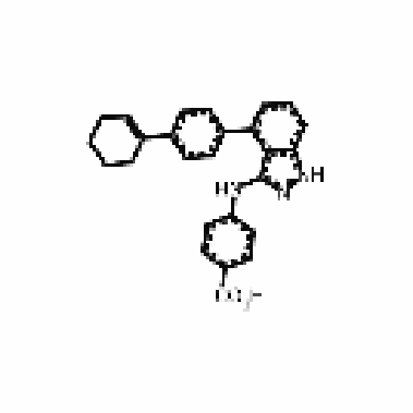 O=C(O)c1ccc(Nc2n[nH]c3cccc(-c4ccc(C5=CCCCC5)cc4)c23)cc1